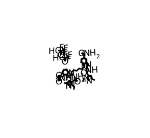 CCn1nc(C)cc1C(=O)Nc1nc2cc(C(N)=O)ccc2n1CCCCn1c(NC(=O)c2cc(C)nn2CC)nc2c(NS(C)(=O)=O)cccc21.O=C(O)C(F)(F)F.O=C(O)C(F)(F)F